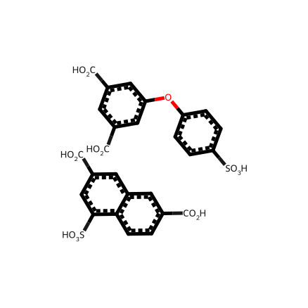 O=C(O)c1cc(Oc2ccc(S(=O)(=O)O)cc2)cc(C(=O)O)c1.O=C(O)c1ccc2c(S(=O)(=O)O)cc(C(=O)O)cc2c1